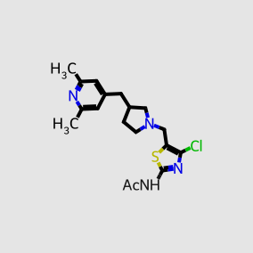 CC(=O)Nc1nc(Cl)c(CN2CCC(Cc3cc(C)nc(C)c3)C2)s1